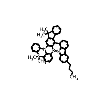 CCCCc1ccc2c(c1)c1cccc3c1n2B1c2cccc4c2N(c2ccccc2S4(C)C)c2cc4c(c-3c21)-c1ccccc1C4(C)C